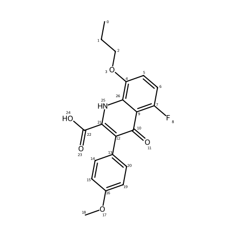 CCCOc1ccc(F)c2c(=O)c(-c3ccc(OC)cc3)c(C(=O)O)[nH]c12